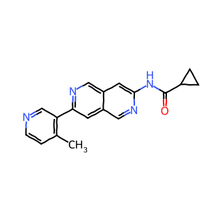 Cc1ccncc1-c1cc2cnc(NC(=O)C3CC3)cc2cn1